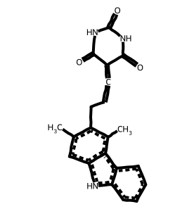 Cc1cc2[nH]c3ccccc3c2c(C)c1CC=C=C1C(=O)NC(=O)NC1=O